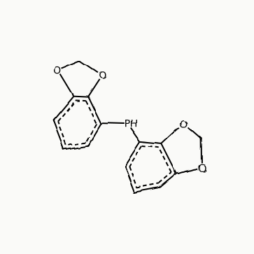 c1cc2c(c(Pc3cccc4c3OCO4)c1)OCO2